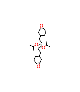 CC(C)O[Si](CCC1CCC2OC2C1)(CCC1CCC2OC2C1)OC(C)C